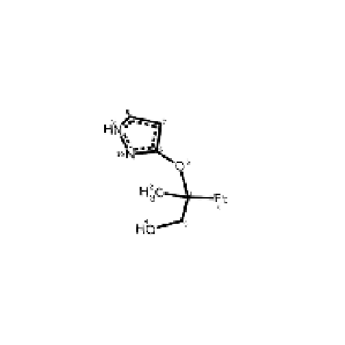 CCC(C)(CO)Oc1cc[nH]n1